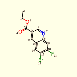 CCOC(=O)c1cnc2cc(F)c(Br)cc2c1